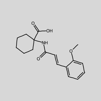 COc1ccccc1C=CC(=O)NC1(C(=O)O)CCCCC1